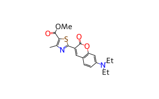 CCN(CC)c1ccc2cc(-c3nc(C)c(C(=O)OC)s3)c(=O)oc2c1